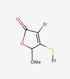 CCSC1=C(Br)C(=O)OC1OC